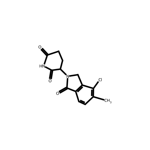 Cc1ccc2c(c1Cl)CN(C1CCC(=O)NC1=O)C2=O